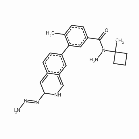 Cc1ccc(C(=O)N(N)C2(C)CCC2)cc1-c1ccc2c(c1)=CNC(N=NN)C=2